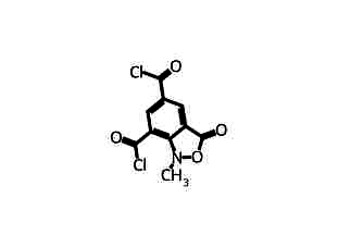 Cn1oc(=O)c2cc(C(=O)Cl)cc(C(=O)Cl)c21